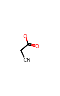 N#CCC([O])=O